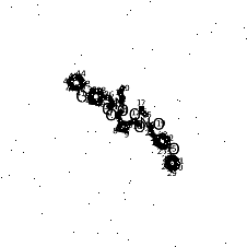 CCCN(OC(=O)C1CCC1C(=O)ON(CCC)C(=O)Cc1ccc(Oc2ccccc2)cc1)C(=O)Cc1ccc(Oc2ccccc2)cc1